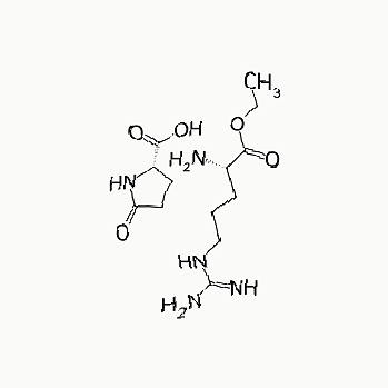 CCOC(=O)[C@@H](N)CCCNC(=N)N.O=C1CC[C@@H](C(=O)O)N1